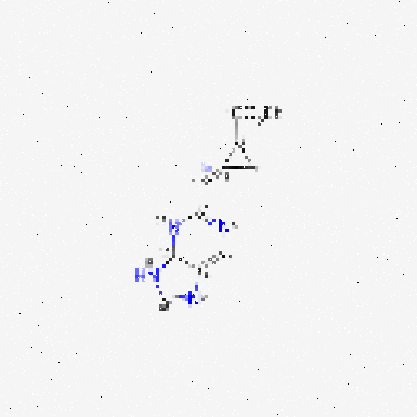 CCOC(=O)C1C/C1=C\c1ncc2nc[nH]c2n1